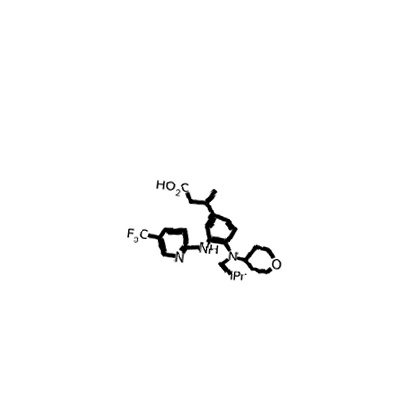 CC(C)CN(c1ccc(C(C)CC(=O)O)cc1Nc1ccc(C(F)(F)F)cn1)C1CCOCC1